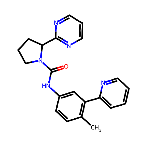 Cc1ccc(NC(=O)N2CCCC2c2ncccn2)cc1-c1ccccn1